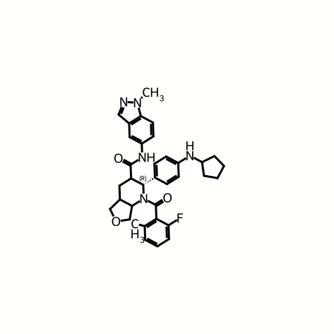 Cc1cccc(F)c1C(=O)N1C2COCC2CC(C(=O)Nc2ccc3c(cnn3C)c2)[C@@H]1c1ccc(NC2CCCC2)cc1